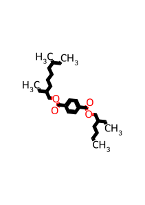 CCCCC(CC)COC(=O)c1ccc(C(=O)OCC(CC)CCCCC(C)CC)cc1